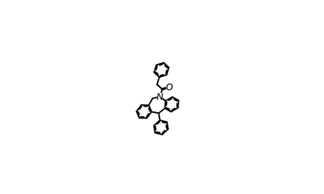 O=C(Cc1ccccc1)N1Cc2ccccc2C(c2ccccc2)c2ccccc21